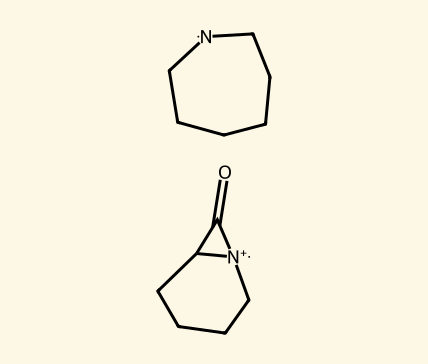 C1CCC[N]CC1.O=C1C2CCCC[N+]12